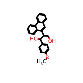 COc1ccc(C(O)C(CO)c2cc3ccccc3c3ccccc23)cc1